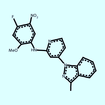 COc1cc(F)c([N+](=O)[O-])cc1Nc1cc(-n2nc(C)c3ccccc32)ccn1